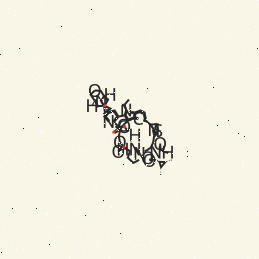 CCO[C@@H]1C2=NC(CS2)c2ccc3c(c2)c(c(-c2cc([C@@H]4C[C@H]5COC[C@@H](C4)N5C4CC4)cnc2[C@H](C)OC)n3CC)CC(C)(C)COC(=O)[C@@H]2CCCN(N2)C(=O)[C@H]1NC(=O)[C@H]1[C@H](C)[C@@H]1C